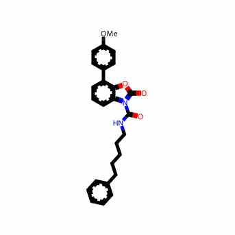 COc1ccc(-c2cccc3c2oc(=O)n3C(=O)NCCCCCc2ccccc2)cc1